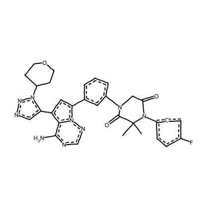 CC1(C)C(=O)N(c2cccc(-c3cc(-c4cnnn4C4CCOCC4)c4c(N)ncnn34)c2)CC(=O)N1c1ccc(F)cc1